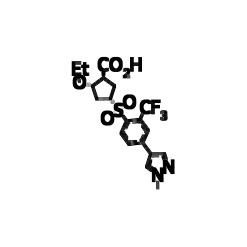 CCO[C@H]1C[C@@H](S(=O)(=O)c2ccc(-c3cnn(C)c3)cc2C(F)(F)F)C[C@@H]1C(=O)O